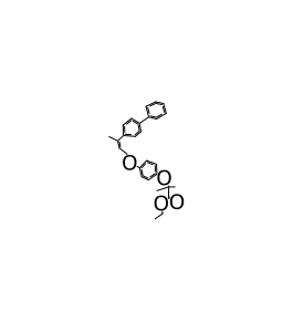 CCOC(=O)C(C)(C)Oc1ccc(OCC=C(C)c2ccc(-c3ccccc3)cc2)cc1